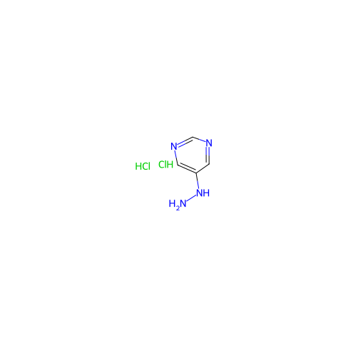 Cl.Cl.NNc1cncnc1